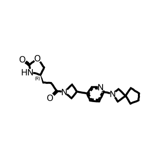 O=C1N[C@H](CCC(=O)N2CC(c3ccc(N4CC5(CCCC5)C4)nc3)C2)CO1